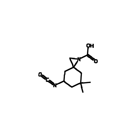 CC1(C)CC(N=C=O)CC2(CN2C(=O)O)C1